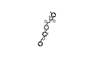 Cc1cccc(C(=O)NCC(=O)N2CCN(c3ccc(OCc4ccccc4)cn3)CC2)c1